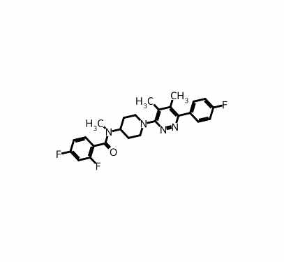 Cc1c(-c2ccc(F)cc2)nnc(N2CCC(N(C)C(=O)c3ccc(F)cc3F)CC2)c1C